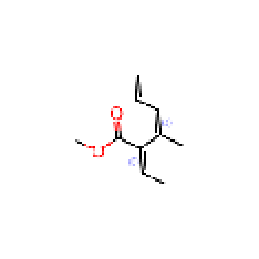 C=C/C=C(C)\C(=C/C)C(=O)OC